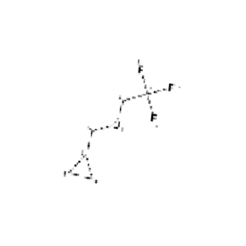 FC(F)(F)COC[C]1CC1